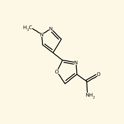 Cn1cc(-c2nc(C(N)=O)co2)cn1